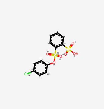 O=S(=O)(O)c1ccccc1S(=O)(=O)Oc1ccc(Cl)cc1